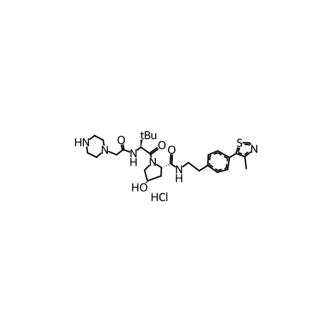 Cc1ncsc1-c1ccc(CCNC(=O)[C@@H]2C[C@H](O)CN2C(=O)[C@@H](NC(=O)CN2CCNCC2)C(C)(C)C)cc1.Cl